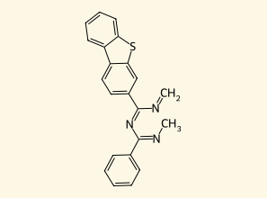 C=N/C(=N\C(=N/C)c1ccccc1)c1ccc2c(c1)sc1ccccc12